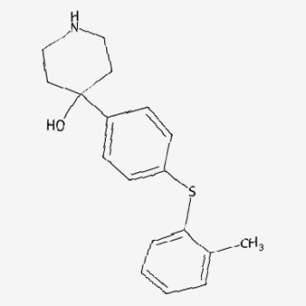 Cc1ccccc1Sc1ccc(C2(O)CCNCC2)cc1